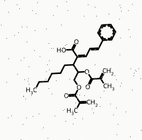 C=C(C)C(=O)OCC(OC(=O)C(=C)C)C(CCCCCC)C(=CC=Cc1ccccc1)C(=O)O